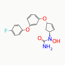 NC(=O)N(O)[C@@H]1C=C[C@@H](Oc2cccc(Oc3ccc(F)cc3)c2)C1